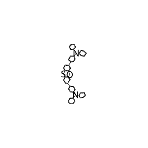 c1ccc(N(c2ccccc2)c2ccc(-c3ccc4c(c3)Oc3cc(-c5ccc(N(c6ccccc6)c6ccccc6)cc5)ccc3S4)cc2)cc1